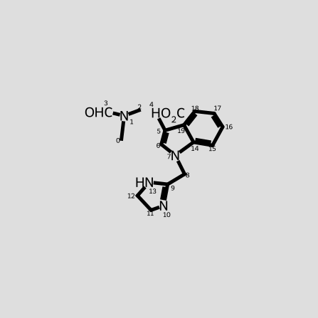 CN(C)C=O.O=C(O)c1cn(CC2=NCCN2)c2ccccc12